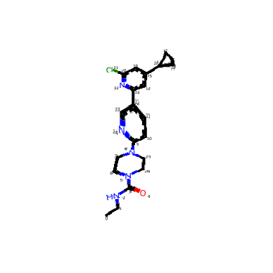 CCNC(=O)N1CCN(c2ccc(-c3cc(C4CC4)cc(Cl)n3)cn2)CC1